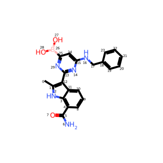 Cc1[nH]c2c(C(N)=O)cccc2c1-c1nc(NCc2ccccc2)cc(B(O)O)n1